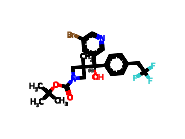 CC(C)(C)OC(=O)N1CC(C)([C@](O)(c2ccc(CC(F)(F)F)cc2)c2cncc(Br)c2)C1